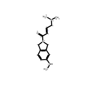 CNc1ccc2c(c1)CN(C(=O)/C=C/CN(C)C)C2